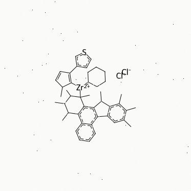 Cc1cc2c(c(C)c1C)C(C)c1c3c(c4ccccc4c1-2)C(C)C(C)C(C)[C]3(C)[Zr+2]([C]1=C(c2ccsc2)C=CC1C)=[C]1CCCCC1.[Cl-].[Cl-]